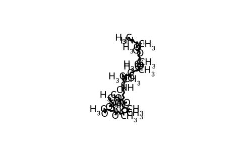 CCOC(=O)CC(CCC(C)=O)C(=O)NCC1(C)CC(NC(=O)C(CCCC(=O)NCCC[N+](C)(C)CC(=O)OC/C=C/[Si](C)(C)O[Si](C)(C)/C=C/COC(=O)C[N+](C)(C)CCCNC)C(=O)OCC)CC(C)(C)C1